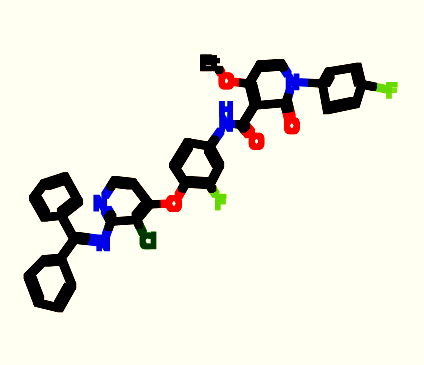 CCOc1ccn(-c2ccc(F)cc2)c(=O)c1C(=O)Nc1ccc(Oc2ccnc(N=C(c3ccccc3)c3ccccc3)c2Cl)c(F)c1